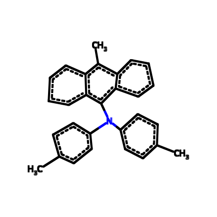 Cc1ccc(N(c2ccc(C)cc2)c2c3ccccc3c(C)c3ccccc23)cc1